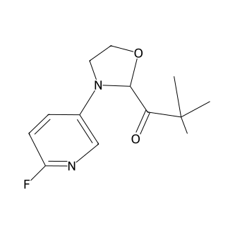 CC(C)(C)C(=O)C1OCCN1c1ccc(F)nc1